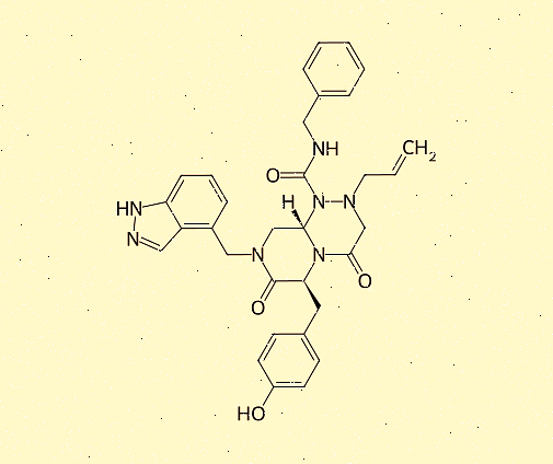 C=CCN1CC(=O)N2[C@@H](Cc3ccc(O)cc3)C(=O)N(Cc3cccc4[nH]ncc34)C[C@@H]2N1C(=O)NCc1ccccc1